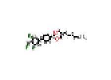 CCCCCC1COC(c2ccc(-c3cc(F)c(CF)c(F)c3)cc2)OC1